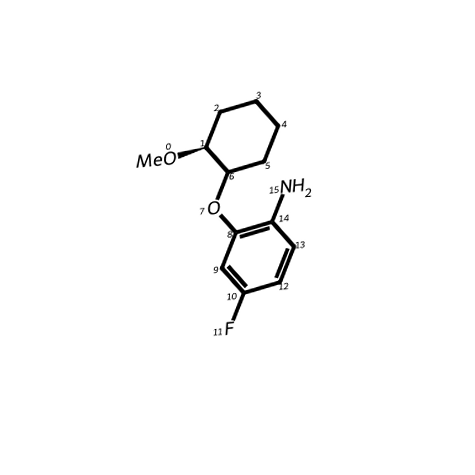 CO[C@H]1CCCCC1Oc1cc(F)ccc1N